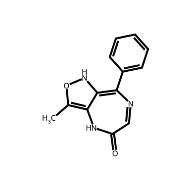 CC1=C2NC(=O)C=NC(c3ccccc3)=C2NO1